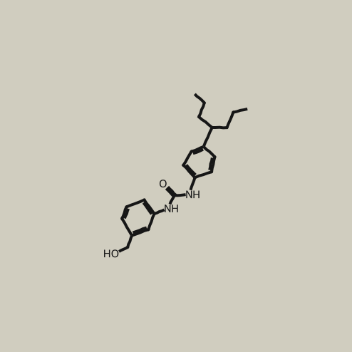 CCCC(CCC)c1ccc(NC(=O)Nc2cccc(CO)c2)cc1